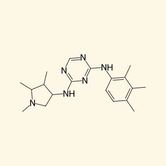 Cc1ccc(Nc2ncnc(NC3CN(C)C(C)C3C)n2)c(C)c1C